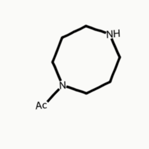 CC(=O)N1CCCNCCC1